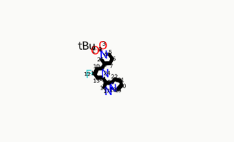 CC(C)(C)OC(=O)N1CCC=C(c2cc(F)cc(-c3cnn4ccccc34)n2)C1